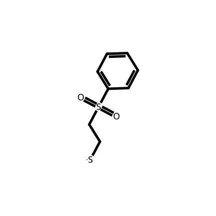 O=S(=O)(CC[S])c1ccccc1